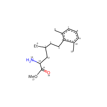 CCC(CCc1c(C)cccc1C)CC(N)C(=O)OC